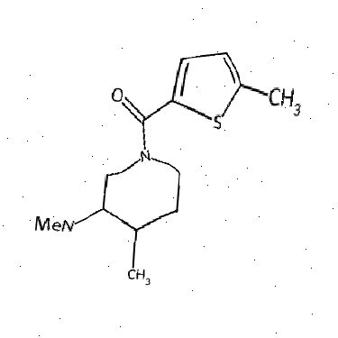 CNC1CN(C(=O)c2ccc(C)s2)CCC1C